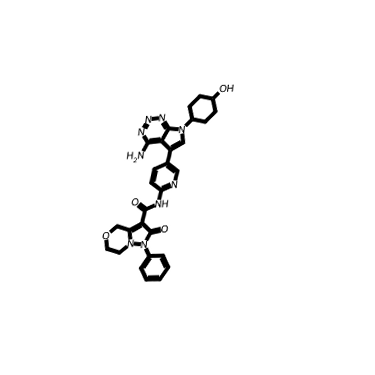 Nc1nnnc2c1c(-c1ccc(NC(=O)c3c4n(n(-c5ccccc5)c3=O)CCOC4)nc1)cn2C1CCC(O)CC1